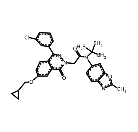 BC(B)(B)N(C(=O)Cn1nc(-c2cccc(Cl)c2)c2ccc(OCC3CC3)cc2c1=O)c1ccc2nc(C)oc2c1